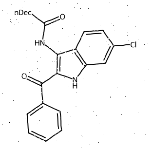 CCCCCCCCCCC(=O)Nc1c(C(=O)c2ccccc2)[nH]c2cc(Cl)ccc12